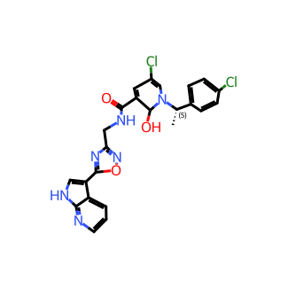 C[C@@H](c1ccc(Cl)cc1)N1C=C(Cl)C=C(C(=O)NCc2noc(-c3c[nH]c4ncccc34)n2)C1O